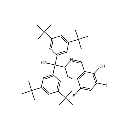 CCC(N=Cc1cc(F)cc(F)c1O)C(O)(c1cc(C(C)(C)C)cc(C(C)(C)C)c1)c1cc(C(C)(C)C)cc(C(C)(C)C)c1